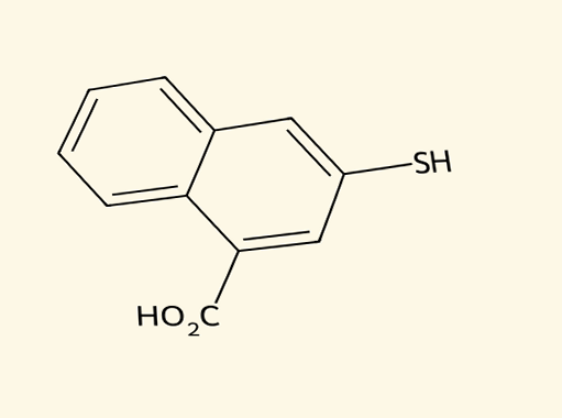 O=C(O)c1cc(S)cc2ccccc12